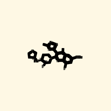 COc1cc(F)c2nc(N3CC[C@@H](N[C@H]4CCOC4)[C@H](F)C3)c(-c3nc(C)no3)c(C)c2c1